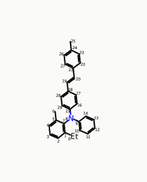 CCc1cccc(C)c1N(c1ccccc1)c1ccc(C=Cc2ccc(C)cc2)cc1